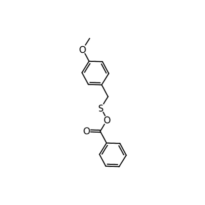 COc1ccc(CSOC(=O)c2ccccc2)cc1